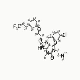 CN(C)CCn1c(=O)c2c(n(C)c1=O)NC(OCCOc1cccc(CCC(F)(F)F)c1)N2Cc1ccc(Cl)cc1